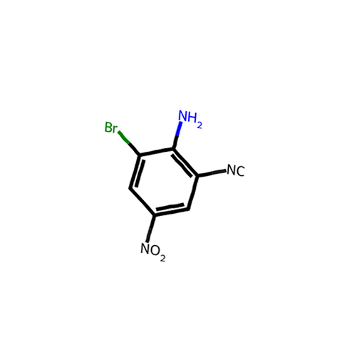 [C-]#[N+]c1cc([N+](=O)[O-])cc(Br)c1N